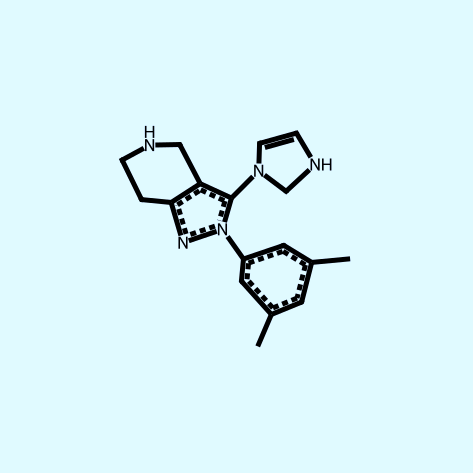 Cc1cc(C)cc(-n2nc3c(c2N2C=CNC2)CNCC3)c1